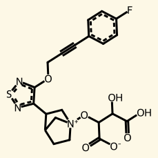 O=C(O)C(O)C(O[N+]12CCC(C1)C(c1nsnc1OCC#Cc1ccc(F)cc1)C2)C(=O)[O-]